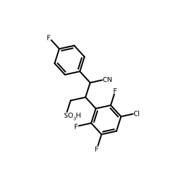 N#CC(c1ccc(F)cc1)C(CS(=O)(=O)O)c1c(F)c(F)cc(Cl)c1F